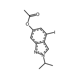 CC(=O)Oc1cc(I)c2cn(C(C)C)nc2c1